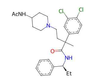 CC[C@H](NC(=O)C(C)(CCN1CCC(NC(C)=O)CC1)c1ccc(Cl)c(Cl)c1)c1ccccc1